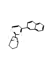 c1ccc2cc(-c3ccnc(N4[C@@H]5CCC[C@H]4CC5)n3)ccc2c1